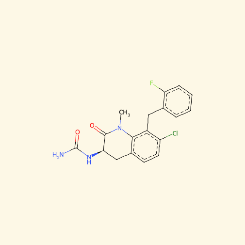 CN1C(=O)[C@H](NC(N)=O)Cc2ccc(Cl)c(Cc3ccccc3F)c21